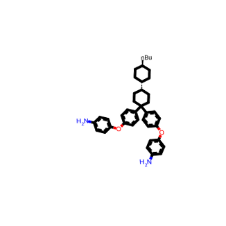 CCCC[C@H]1CC[C@H](C2CCC(c3ccc(Oc4ccc(N)cc4)cc3)(c3ccc(Oc4ccc(N)cc4)cc3)CC2)CC1